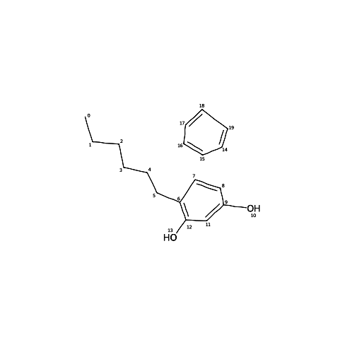 CCCCCCc1ccc(O)cc1O.c1ccccc1